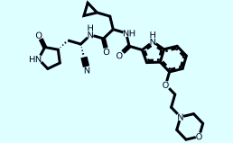 N#C[C@H](C[C@@H]1CCNC1=O)NC(=O)C(CC1CC1)NC(=O)c1cc2c(OCCN3CCOCC3)cccc2[nH]1